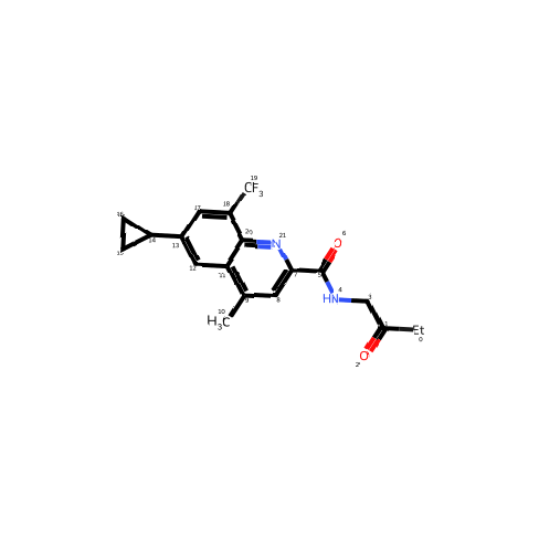 CCC(=O)CNC(=O)c1cc(C)c2cc(C3CC3)cc(C(F)(F)F)c2n1